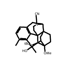 COC12CCC3(CC1C(C)(O)C(C)(C)C)C1Cc4ccc(C)c5c4C3(CCN1C#N)C2O5